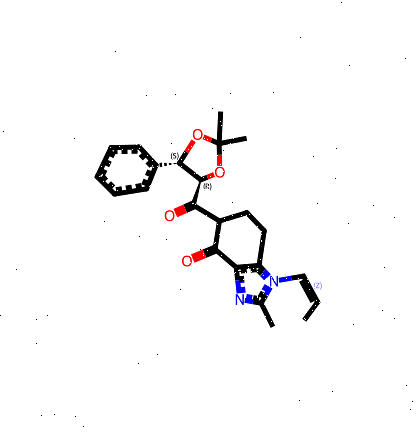 C/C=C\n1c(C)nc2c1CCC(C(=O)[C@@H]1OC(C)(C)O[C@H]1c1ccccc1)C2=O